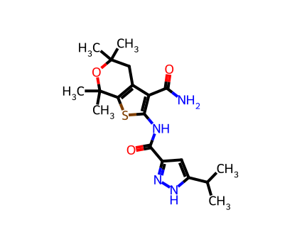 CC(C)c1cc(C(=O)Nc2sc3c(c2C(N)=O)CC(C)(C)OC3(C)C)n[nH]1